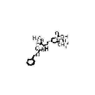 COC(=O)C(CC[C@@H]1CN(C(=O)O)C(C)(C)C1)NC(=O)OCc1ccccc1